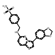 NS(=O)(=O)c1ccc(CNc2ccc3ncc(-c4ccc5c(c4)OCO5)n3n2)cc1